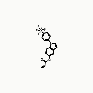 C=CC(=O)Nc1ccc2c(ccn2-c2ccc(S(F)(F)(F)(F)F)cc2)c1